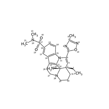 CC[C@@]12C=C(c3nc(C)no3)n3c4c(c5cc(S(=O)(=O)N(C)C)ccc53)CCN(CCC1)[C@]42N